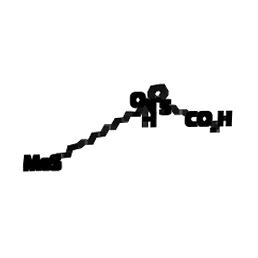 CSCCCCCCCCCCCCCCC(=O)Nc1ccccc1SCCCC(=O)O